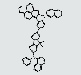 CC1(C)c2cc(-c3ccc4c(c3)c3c5ccc6cccc7ccc(cc3n4-c3ccc4ccccc4c3)c5c76)ccc2-c2ccc(N(c3ccccc3)c3cccc4ccccc34)cc21